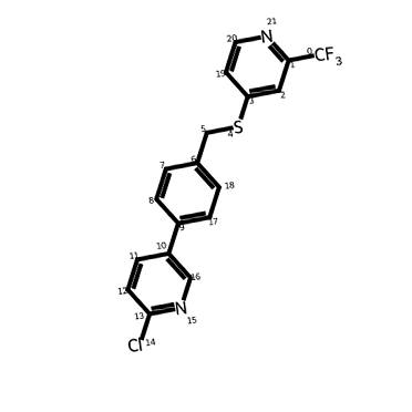 FC(F)(F)c1cc(SCc2ccc(-c3ccc(Cl)nc3)cc2)ccn1